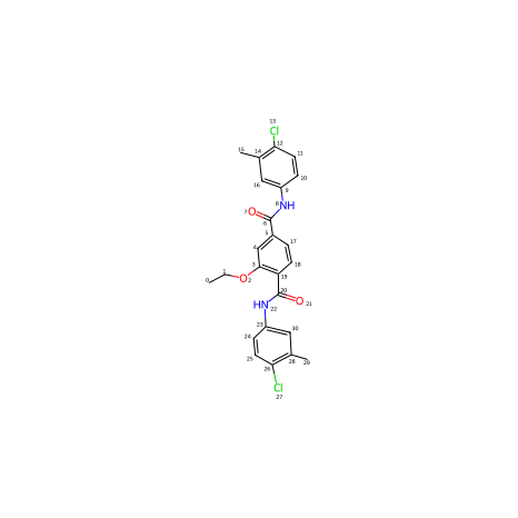 CCOc1cc(C(=O)Nc2ccc(Cl)c(C)c2)ccc1C(=O)Nc1ccc(Cl)c(C)c1